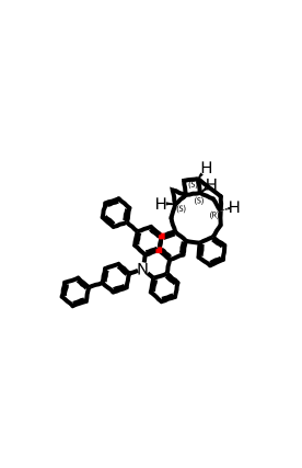 c1ccc(-c2ccc(N(c3cccc(-c4ccccc4)c3)c3ccccc3-c3ccc4c(c3)-c3ccccc3C[C@@H]3C[C@H]5CC6(C[C@H]6C4)[C@H]5C3)cc2)cc1